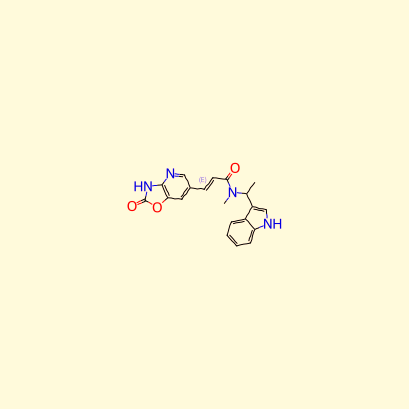 CC(c1c[nH]c2ccccc12)N(C)C(=O)/C=C/c1cnc2[nH]c(=O)oc2c1